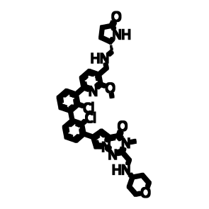 COc1nc(-c2cccc(-c3cccc(-c4cc5c(=O)n(C)c(CNC6CCOCC6)nn5c4)c3Cl)c2Cl)ccc1CNC[C@@H]1CCC(=O)N1